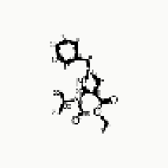 CCOC(=O)c1cn(Cc2ccccc2)nc1N(C=O)C(C)C